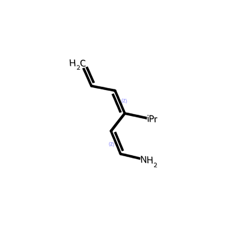 C=C/C=C(\C=C/N)C(C)C